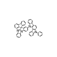 c1ccc(-n2c3ccccc3c3c2ccc2c4ccccc4n(-c4ccc5c(c4)C4(c6ccccc6-c6ccccc64)c4nc6ccccc6n4-5)c23)cc1